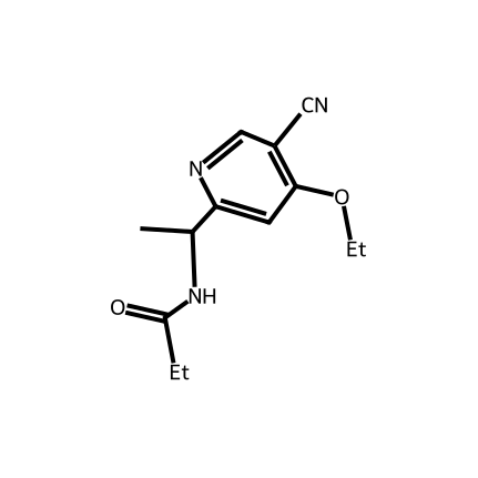 CCOc1cc(C(C)NC(=O)CC)ncc1C#N